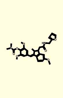 COc1ccc2c(c1)C(CC(=O)NCc1ccco1)C(C)C2=Cc1cc(OC)c(OC(=O)N(C)C)c(OC)c1